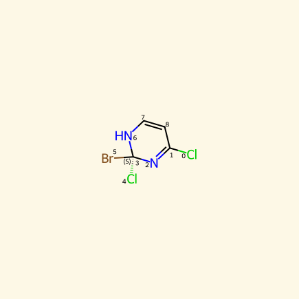 ClC1=N[C@@](Cl)(Br)NC=C1